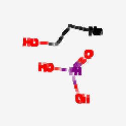 O=[PH](O)O.OC[CH2][Na]